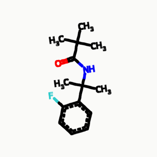 CC(C)(C)C(=O)NC(C)(C)c1ccccc1F